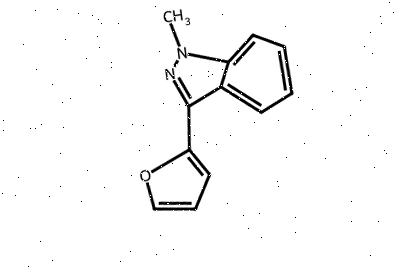 Cn1nc(-c2ccco2)c2ccccc21